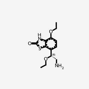 CCOc1ccc([C@H](CN)OCC)c2sc(=O)[nH]c12